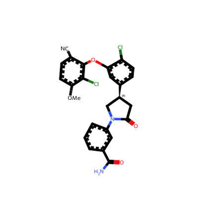 COc1ccc(C#N)c(Oc2cc([C@H]3CC(=O)N(c4cccc(C(N)=O)c4)C3)ccc2Cl)c1Cl